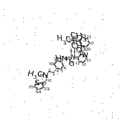 CN(CCc1ccc(NC(=O)Nc2cccnc2Oc2ccccc2C(C)(C)C)cc1)Cc1cccs1